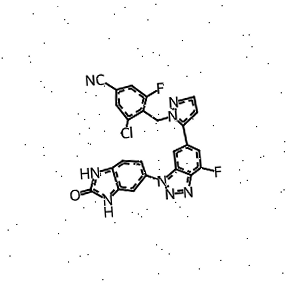 N#Cc1cc(F)c(Cn2nccc2-c2cc(F)c3nnn(-c4ccc5[nH]c(=O)[nH]c5c4)c3c2)c(Cl)c1